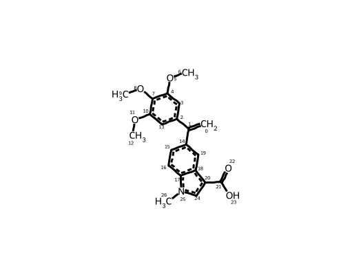 C=C(c1cc(OC)c(OC)c(OC)c1)c1ccc2c(c1)c(C(=O)O)cn2C